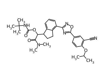 CC(C)Oc1ccc(-c2nc(-c3cccc4c3CCC4C(OC(=O)NC(C)(C)C)C(=O)N(C)C)no2)cc1C#N